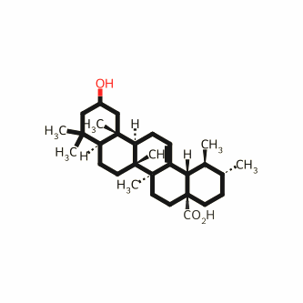 C[C@H]1[C@H](C)CC[C@]2(C(=O)O)CC[C@]3(C)C(=CC[C@@H]4[C@@]5(C)CC(O)CC(C)(C)[C@@H]5CC[C@]43C)[C@H]12